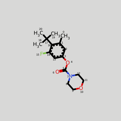 Cc1cc(OC(=O)N2CCOCC2)cc(F)c1C(C)(C)C